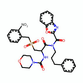 O=C(NC(CS(=O)(=O)Cc1ccccc1[N+](=O)[O-])C(=O)N(CCCc1ccccc1)C(=O)c1nc2ccccc2o1)N1CCOCC1